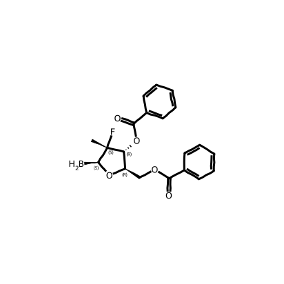 B[C@@H]1O[C@H](COC(=O)c2ccccc2)[C@@H](OC(=O)c2ccccc2)[C@@]1(C)F